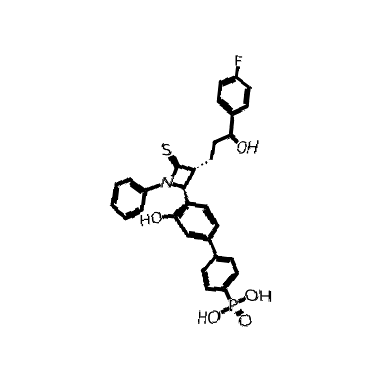 O=P(O)(O)c1ccc(-c2ccc([C@@H]3[C@@H](CCC(O)c4ccc(F)cc4)C(=S)N3c3ccccc3)c(O)c2)cc1